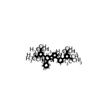 CC(C)(C)c1cc(C2C=CC=C3C2=Nc2ccc4c(c23)N=C2C4=CC(c3cc(C(C)(C)C)cc(C(C)(C)C)c3)C3=NC4=CC=CCC4=C23)cc(C(C)(C)C)c1